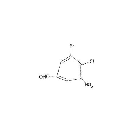 O=Cc1cc(Br)c(Cl)c([N+](=O)[O-])c1